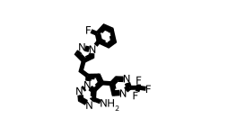 Nc1ncnn2c(Cc3cnn(-c4ccccc4F)c3)cc(-c3cnc(C(F)(F)F)nc3)c12